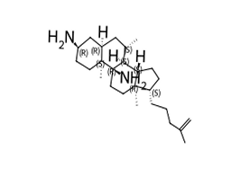 C=C(C)CCC[C@H]1CC[C@H]2[C@@H]3[C@@H](C)C[C@@H]4C[C@H](N)CC[C@]4(C)[C@@]3(N)CC[C@]12C